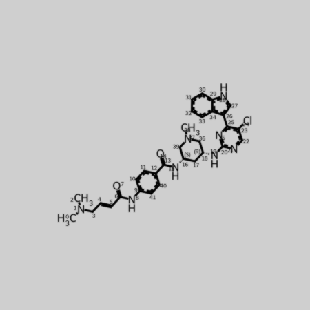 CN(C)CC=CC(=O)Nc1ccc(C(=O)N[C@H]2C[C@@H](Nc3ncc(Cl)c(-c4c[nH]c5ccccc45)n3)CN(C)C2)cc1